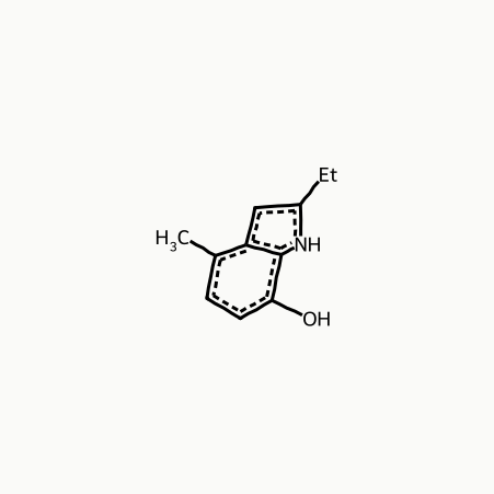 [CH2]Cc1cc2c(C)ccc(O)c2[nH]1